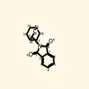 O=C1c2ccccc2C(=O)N1C1CN2CCC1CC2